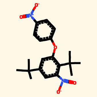 CC(C)(C)c1cc(Oc2ccc([N+](=O)[O-])cc2)c(C(C)(C)C)c([N+](=O)[O-])c1